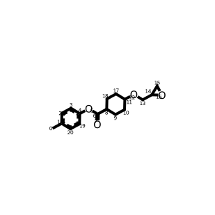 Cc1ccc(OC(=O)C2CCC(OCC3CO3)CC2)cc1